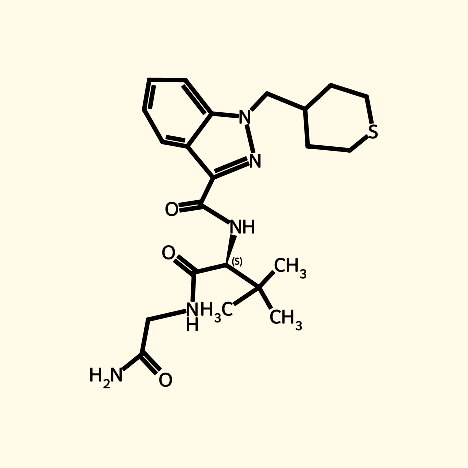 CC(C)(C)[C@H](NC(=O)c1nn(CC2CCSCC2)c2ccccc12)C(=O)NCC(N)=O